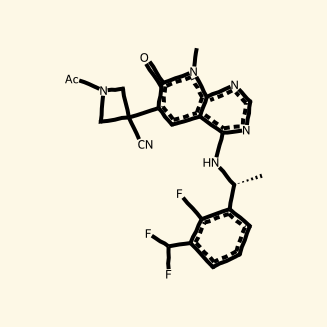 CC(=O)N1CC(C#N)(c2cc3c(N[C@H](C)c4cccc(C(F)F)c4F)ncnc3n(C)c2=O)C1